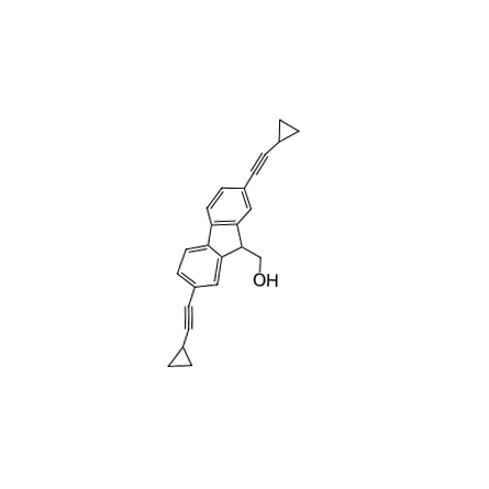 OCC1c2cc(C#CC3CC3)ccc2-c2ccc(C#CC3CC3)cc21